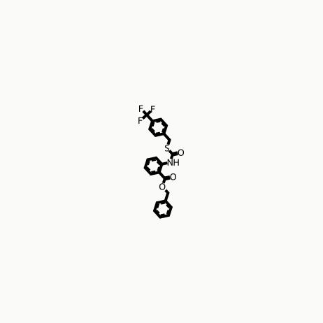 O=C(Nc1ccccc1C(=O)OCc1ccccc1)SCc1ccc(C(F)(F)F)cc1